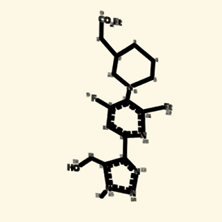 CCOC(=O)CC1CCCN(c2c(F)cc(-c3nnn(C)c3CO)nc2CC)C1